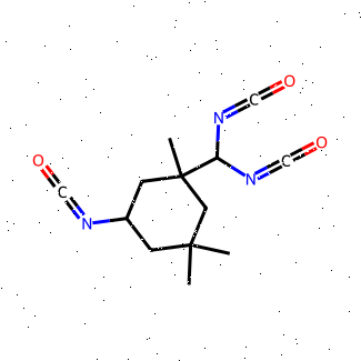 CC1(C)CC(N=C=O)CC(C)(C(N=C=O)N=C=O)C1